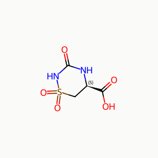 O=C1N[C@@H](C(=O)O)CS(=O)(=O)N1